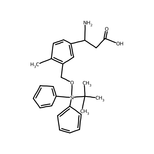 Cc1ccc(C(N)CC(=O)O)cc1CO[Si](c1ccccc1)(c1ccccc1)C(C)(C)C